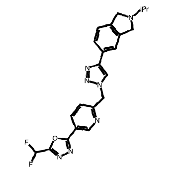 CC(C)N1Cc2ccc(-c3cn(Cc4ccc(-c5nnc(C(F)F)o5)cn4)nn3)cc2C1